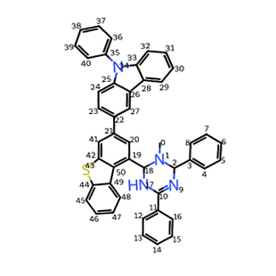 CN1C(c2ccccc2)N=C(c2ccccc2)NC1c1cc(-c2ccc3c(c2)c2ccccc2n3-c2ccccc2)cc2sc3ccccc3c12